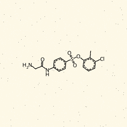 Cc1c(Cl)cccc1OS(=O)(=O)c1ccc(NC(=O)CN)cc1